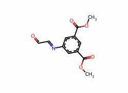 COC(=O)c1cc(N=CC=O)cc(C(=O)OC)c1